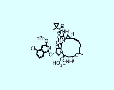 CCCOc1cc2c(Cl)cccc2c(O[C@@H]2C[C@H]3C(=O)N[C@]4(C(=O)NS(=O)(=O)C5(C)CC5)C[C@H]4C=CCC[C@@H](C)C[C@@H](C)[C@H](NC(=O)O)C(=O)N3C2)n1